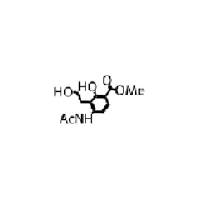 COC(=O)c1ccc(NC(C)=O)c(CCO)c1O